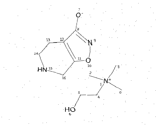 C[N+](C)(C)CCO.[O-]c1noc2c1CCNC2